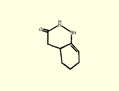 O=C1CC2CCCC=C2NN1